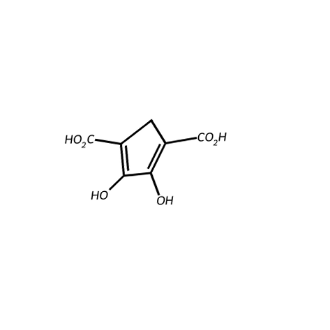 O=C(O)C1=C(O)C(O)=C(C(=O)O)C1